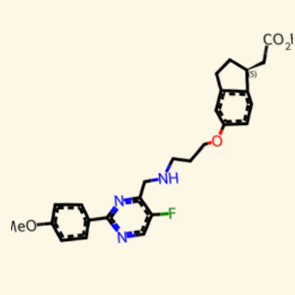 COc1ccc(-c2ncc(F)c(CNCCCOc3ccc4c(c3)CC[C@H]4CC(=O)O)n2)cc1